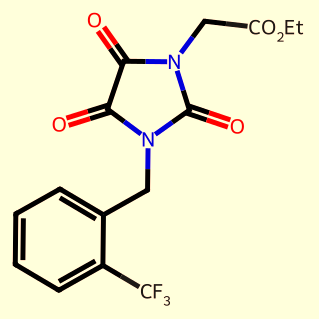 CCOC(=O)CN1C(=O)C(=O)N(Cc2ccccc2C(F)(F)F)C1=O